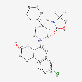 CC1(C)COC(=O)N1CC1(C2CCCCC2)CCN(C(=O)C2CC(=O)CCC2c2ccc(Cl)cc2)CC1